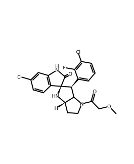 COCC(=O)N1CC[C@@H]2N[C@@]3(C(=O)Nc4cc(Cl)ccc43)[C@@H](c3cccc(Cl)c3F)C21